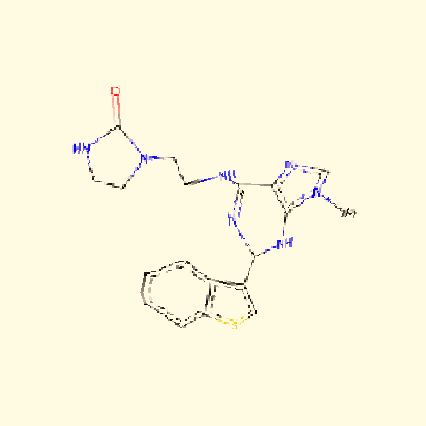 CC(C)n1cnc2c1NC(c1csc3ccccc13)N=C2NCCN1CCNC1=O